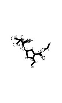 CCOC(=O)C1CC(OC(=N)C(Cl)(Cl)Cl)CC1CC